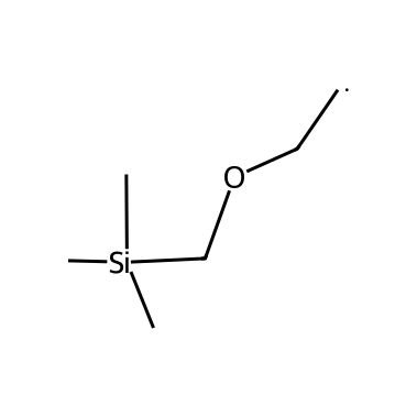 [CH2]COC[Si](C)(C)C